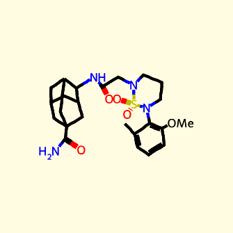 COc1cccc(C)c1N1CCCN(CC(=O)NC2C3CC4CC2CC(C(N)=O)(C4)C3)S1(=O)=O